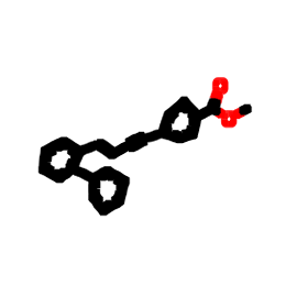 COC(=O)c1ccc(C#C/C=C/c2ccccc2-c2ccccc2)cc1